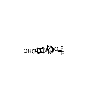 O=CN1CC2CN(c3ncc(OCC(F)F)cn3)CC2C1